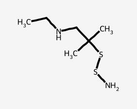 CCNCC(C)(C)SSN